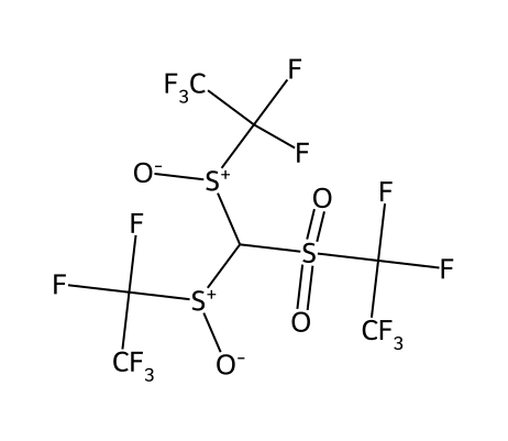 O=S(=O)(C([S+]([O-])C(F)(F)C(F)(F)F)[S+]([O-])C(F)(F)C(F)(F)F)C(F)(F)C(F)(F)F